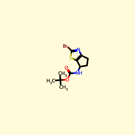 CC(C)(C)OC(=O)NC1CCc2nc(Br)sc21